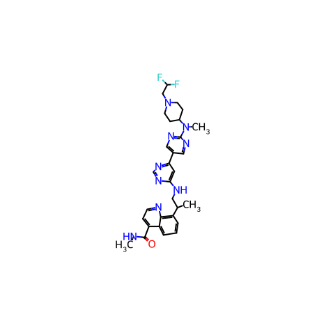 CNC(=O)c1ccnc2c(C(C)CNc3cc(-c4cnc(N(C)C5CCN(CC(F)F)CC5)nc4)ncn3)cccc12